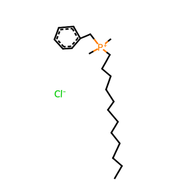 CCCCCCCCCCCC[P+](C)(C)Cc1ccccc1.[Cl-]